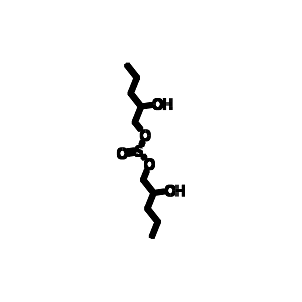 CCCC(O)COS(=O)OCC(O)CCC